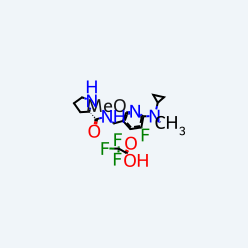 COc1nc(N(C)C2CC2)c(F)cc1CNC(=O)[C@@H]1CCCN1.O=C(O)C(F)(F)F